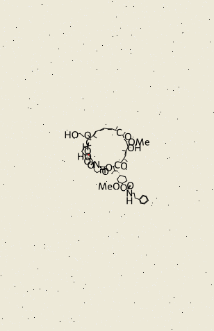 CO[C@@H]1C[C@H](C[C@@H](C)[C@@H]2CC(=O)[C@H](C)/C=C(\C)[C@@H](O)[C@@H](OC)C(=O)[C@H](C)C[C@H](C)/C=C/C=C/C=C(\C)C(OCCO)C[C@@H]3CC[C@@H](C)[C@@](O)(O3)C(=O)C(=O)N3CCCC[C@H]3C(=O)O2)CC[C@H]1OC(=O)NCCc1ccccc1